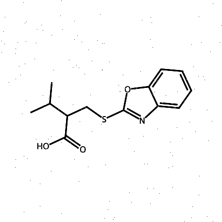 CC(C)C(CSc1nc2ccccc2o1)C(=O)O